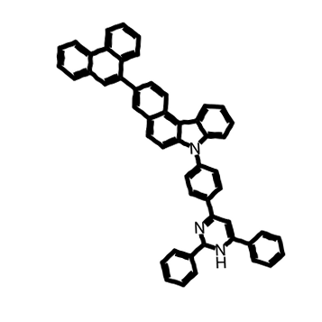 C1=C(c2ccccc2)NC(c2ccccc2)N=C1c1ccc(-n2c3ccccc3c3c4ccc(-c5cc6ccccc6c6ccccc56)cc4ccc32)cc1